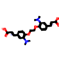 CN(C)c1cc(/C=C/C(=O)O)ccc1OCCOc1ccc(/C=C/C(=O)O)cc1N(C)C